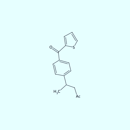 CC(=O)CC(C)c1ccc(C(=O)c2cccs2)cc1